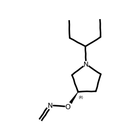 C=NO[C@@H]1CCN(C(CC)CC)C1